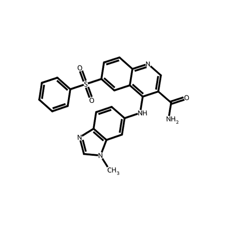 Cn1cnc2ccc(Nc3c(C(N)=O)cnc4ccc(S(=O)(=O)c5ccccc5)cc34)cc21